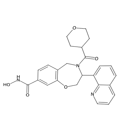 O=C(NO)c1ccc2c(c1)OCC(c1cccc3cccnc13)N(C(=O)C1CCOCC1)C2